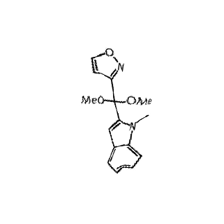 COC(OC)(c1ccon1)c1cc2ccccc2n1C